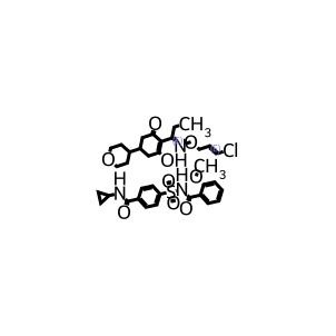 CC/C(=N\OC/C=C/Cl)C1=C(O)CC(C2CCOCC2)CC1=O.COc1ccccc1C(=O)NS(=O)(=O)c1ccc(C(=O)NC2CC2)cc1